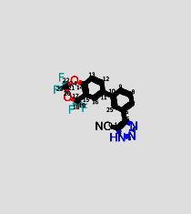 N#Cc1[nH]nnc1-c1cccc(-c2ccc3c(c2)C(F)(F)OC(F)(F)O3)c1